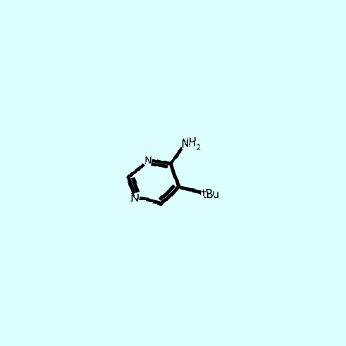 CC(C)(C)c1cncnc1N